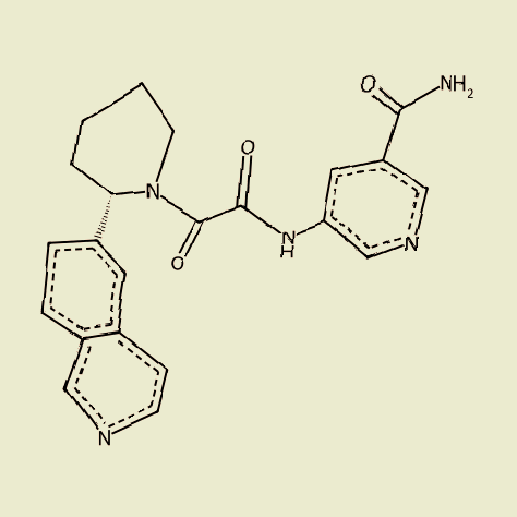 NC(=O)c1cncc(NC(=O)C(=O)N2CCCC[C@H]2c2ccc3cnccc3c2)c1